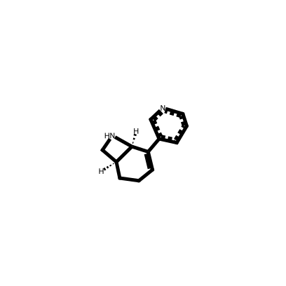 C1=C(c2cccnc2)[C@@H]2NC[C@@H]2CC1